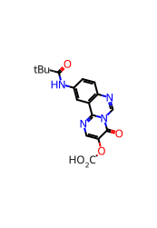 CC(C)(C)C(=O)Nc1ccc2ncn3c(=O)c(OC(=O)O)cnc3c2c1